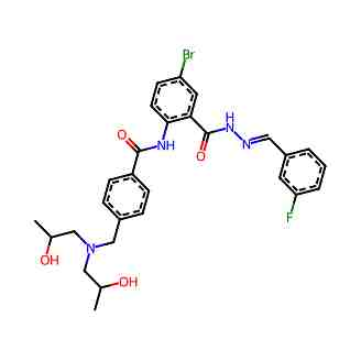 CC(O)CN(Cc1ccc(C(=O)Nc2ccc(Br)cc2C(=O)N/N=C/c2cccc(F)c2)cc1)CC(C)O